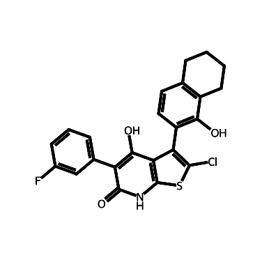 O=c1[nH]c2sc(Cl)c(-c3ccc4c(c3O)CCCC4)c2c(O)c1-c1cccc(F)c1